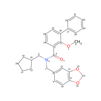 COc1c(C(=O)N(Cc2ccc3c(c2)OCO3)CC2CCCC2)cccc1-c1ccccc1